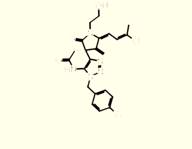 C=C1/C(=C\C=C(/C)Cl)N(CCO)C(=O)[C@@]12CC(=O)Nc1c2nnn1Cc1ccc(Cl)cc1